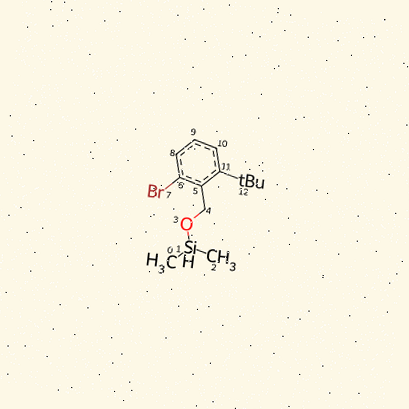 C[SiH](C)OCc1c(Br)cccc1C(C)(C)C